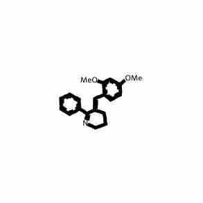 COc1ccc(/C=C2\CCCN=C2c2ccccc2)c(OC)c1